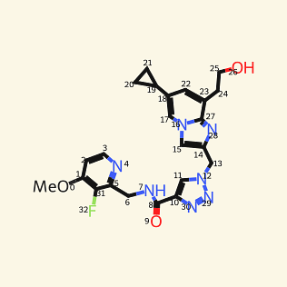 COc1ccnc(CNC(=O)c2cn(Cc3cn4cc(C5CC5)cc(CCO)c4n3)nn2)c1F